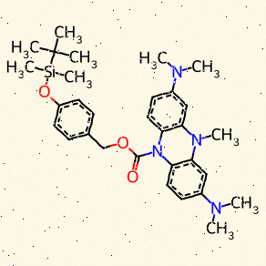 CN(C)c1ccc2c(c1)N(C)c1cc(N(C)C)ccc1N2C(=O)OCc1ccc(O[Si](C)(C)C(C)(C)C)cc1